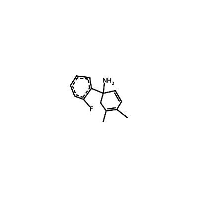 CC1=C(C)CC(N)(c2ccccc2F)C=C1